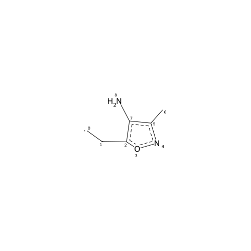 [CH2]Cc1onc(C)c1N